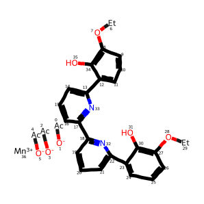 CC(=O)[O-].CC(=O)[O-].CC(=O)[O-].CCOc1cccc(-c2cccc(-c3cccc(-c4cccc(OCC)c4O)n3)n2)c1O.[Mn+3]